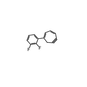 Fc1cccc(C2=CC=CC#CC2)c1F